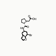 O=C(O)CN1CCC[C@H]1C(=O)Nc1cc(Br)c2occc2c1